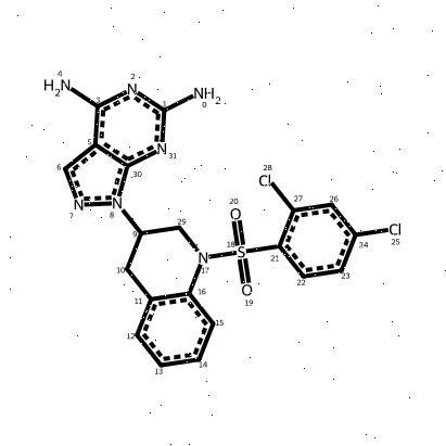 Nc1nc(N)c2cnn(C3Cc4ccccc4N(S(=O)(=O)c4ccc(Cl)cc4Cl)C3)c2n1